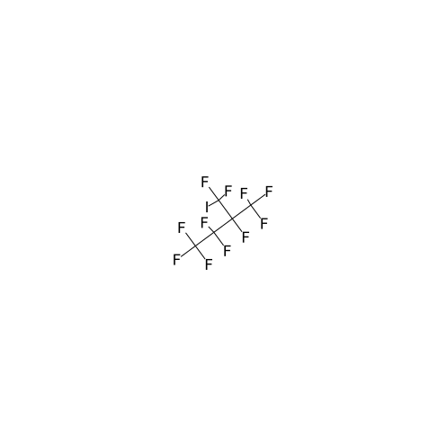 FC(F)(F)C(F)(F)C(F)(C(F)(F)F)C(F)(F)I